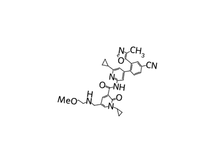 COCCNCc1cc(C(=O)Nc2cc(-c3ccc(C#N)cc3-c3ocnc3C)cc(C3CC3)n2)c(=O)n(C2CC2)c1